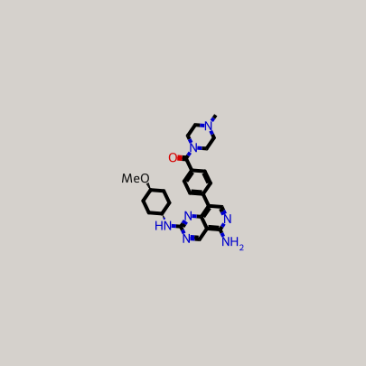 CO[C@H]1CC[C@H](Nc2ncc3c(N)ncc(-c4ccc(C(=O)N5CCN(C)CC5)cc4)c3n2)CC1